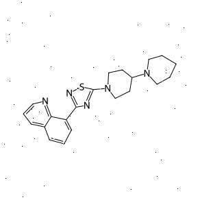 c1cnc2c(-c3nsc(N4CCC(N5CCCCC5)CC4)n3)cccc2c1